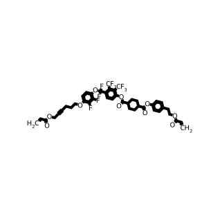 C=CC(=O)OCC#CCCCOc1ccc(OC(F)(F)c2ccc(OC(=O)C3CCC(C(=O)Oc4ccc(CCOC(=O)C=C)cc4)CC3)c(C(F)(F)F)c2C(F)(F)F)c(F)c1F